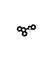 c1ccc2sc(-c3cc4ccccc4c4ccccc34)cc2c1